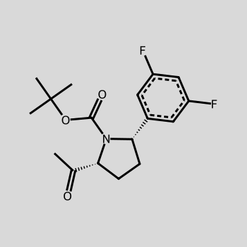 CC(=O)[C@H]1CC[C@@H](c2cc(F)cc(F)c2)N1C(=O)OC(C)(C)C